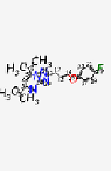 CC(C)c1cc(C(C)C)n2nc(CCCOc3ccc(F)cc3)nc2n1